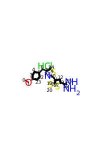 COc1ccc(Cc2csc(-c3cc(C(=N)N)sc3SC)n2)cc1.Cl